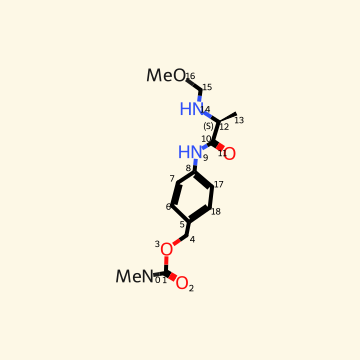 CNC(=O)OCc1ccc(NC(=O)[C@H](C)NCOC)cc1